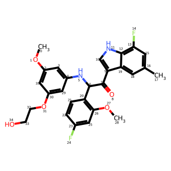 COc1cc(NC(C(=O)c2c[nH]c3c(F)cc(C)cc23)c2ccc(F)cc2OC)cc(OCCO)c1